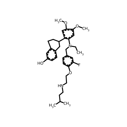 CCN(Cc1ccc(OCCNCCC(C)C)c(F)c1)c1cc(OC)c(OC)cc1C1CCc2cc(O)ccc2C1